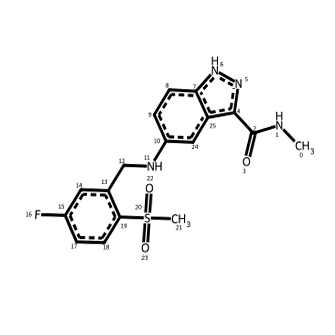 CNC(=O)c1n[nH]c2ccc(NCc3cc(F)ccc3S(C)(=O)=O)cc12